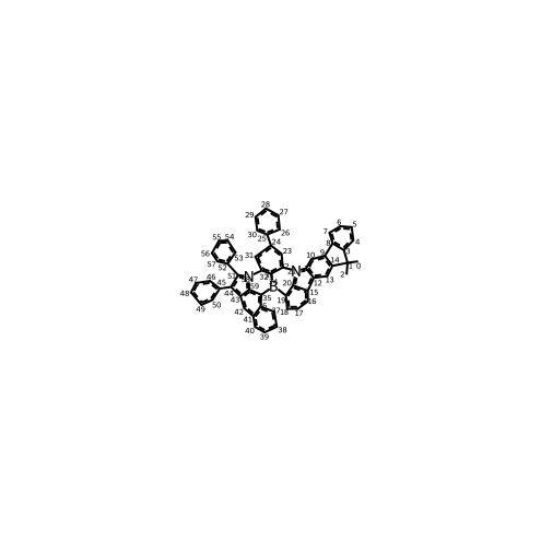 CC1(C)c2ccccc2-c2cc3c(cc21)c1cccc2c1n3-c1cc(-c3ccccc3)cc3c1B2c1c2ccccc2cc2c(-c4ccccc4)c(-c4ccccc4)n-3c12